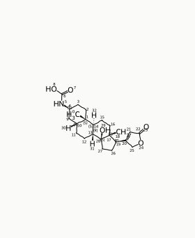 C[C@]12CC[C@H](NC(=O)O)C[C@H]1CC[C@@H]1[C@@H]2CC[C@]2(C)[C@@H](C3=CC(=O)OC3)CC[C@]12O